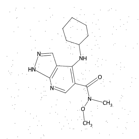 CON(C)C(=O)c1cnc2[nH]ncc2c1NC1CCCCC1